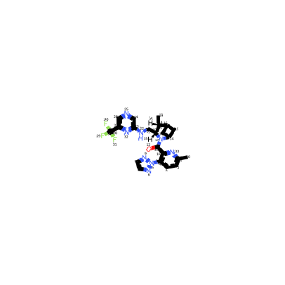 Cc1ccc(-n2nccn2)c(C(=O)N2C3CC(C3)[C@@H](C)[C@H]2CNc2cncc(C(F)(F)F)n2)n1